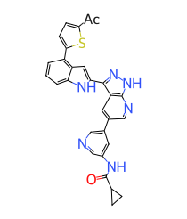 CC(=O)c1ccc(-c2cccc3[nH]c(-c4n[nH]c5ncc(-c6cncc(NC(=O)C7CC7)c6)cc45)cc23)s1